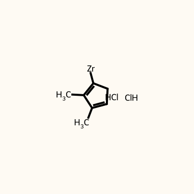 CC1=CC[C]([Zr])=C1C.Cl.Cl